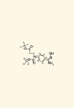 CC(C)(C)OC(=O)CCN(C(=O)OC(C)(C)C)c1ccc(/C(N)=N\O)cc1